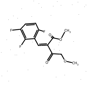 COCC(=O)/C(=C/c1c(F)ccc(F)c1F)C(=O)OC